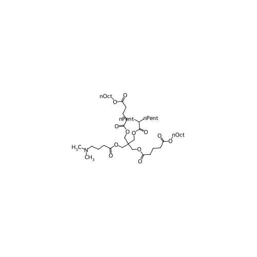 CCCCCCCCOC(=O)CCCC(=O)OCC(COC(=O)CCCC(=O)OCCCCCCCC)(COC(=O)CCCN(C)C)COC(=O)C(CCCCC)CCCCC